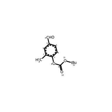 Cc1cc(C=O)ccc1OC(=O)OC(C)(C)C